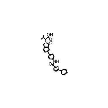 CC(C)[C@@H](C(=O)O)N1Cc2ccc(-c3ccc(NC(=O)c4nc(-c5ccccc5)cs4)cc3)cc2C1=O